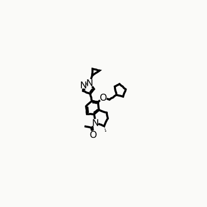 CC(=O)N1c2ccc(-c3cnn(C4CC4)c3)c(OCC3CCCC3)c2CC[C@@H]1C